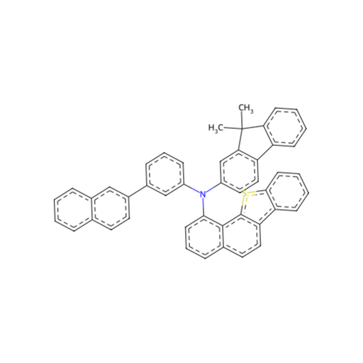 CC1(C)c2ccccc2-c2ccc(N(c3cccc(-c4ccc5ccccc5c4)c3)c3cccc4ccc5c6ccccc6sc5c34)cc21